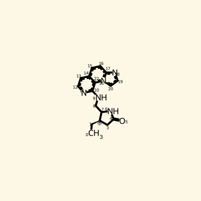 CC[C@@H]1CC(=O)NC1CNc1nccc2ccc3nccn3c12